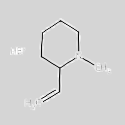 Br.C=CC1CCCCN1C